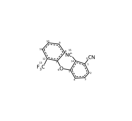 N#Cc1cccc(Oc2ccccc2C(F)(F)F)c1C#N